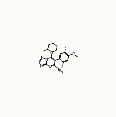 COc1cc(F)c(-c2c(C#N)nc3ncnn3c2N2CCCCC2C)cc1F